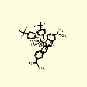 CC1=Cc2cc(C(C)C)ccc2[CH]1[Zr]([CH3])([CH3])(=[SiH2])([O]c1ccc(C(F)(F)F)cc1)([O]c1ccc(C(F)(F)F)cc1)[CH]1C(C)=Cc2cc(C(C)C)ccc21